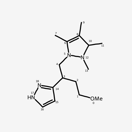 COCCC(CN1C(C)=C(C)C(C)N1C)c1cc[nH]n1